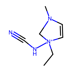 CC[N+]1(NC#N)C=CN(C)C1